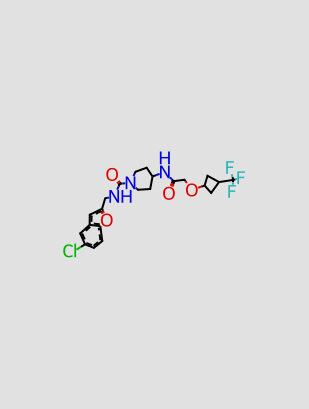 O=C(COC1CC(C(F)(F)F)C1)NC1CCN(C(=O)NCc2cc3cc(Cl)ccc3o2)CC1